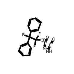 FC(F)(F)C(F)(F)C(F)(c1ccccc1)c1ccccc1.N=C=O.N=C=O